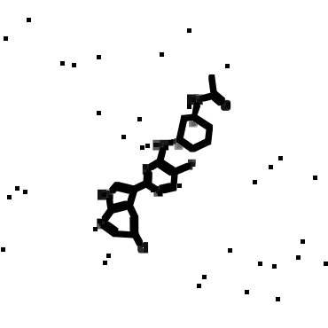 CC(=O)N[C@H]1CCC[C@H](Nc2nc(-c3c[nH]c4ncc(Cl)cc34)ncc2F)C1